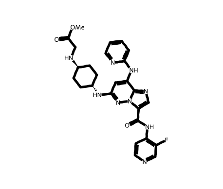 COC(=O)CN[C@H]1CC[C@H](Nc2cc(Nc3ccccn3)c3ncc(C(=O)Nc4ccncc4F)n3n2)CC1